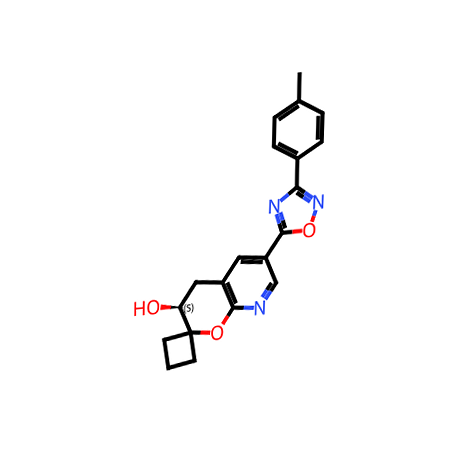 Cc1ccc(-c2noc(-c3cnc4c(c3)C[C@H](O)C3(CCC3)O4)n2)cc1